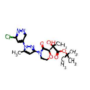 Cc1cc(N2CCO[C@H](C(C)(O)C(=O)OC(C)(C)C)C2=O)nn1-c1cnnc(Cl)c1